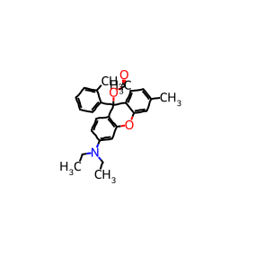 CCN(CC)c1ccc2c(c1)Oc1cc(C)cc(C)c1C2(OC=O)c1ccccc1C